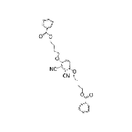 N#Cc1c(OCCCCOC(=O)c2ccccc2)ccc(OCCCCOC(=O)c2ccccc2)c1C#N